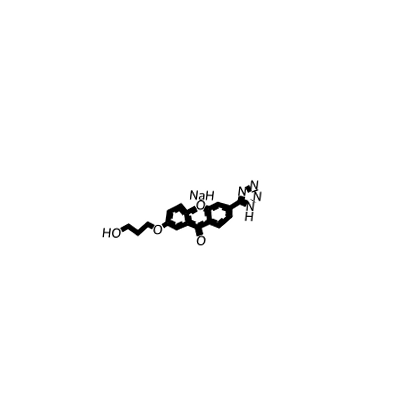 O=c1c2ccc(-c3nnn[nH]3)cc2oc2ccc(OCCCO)cc12.[NaH]